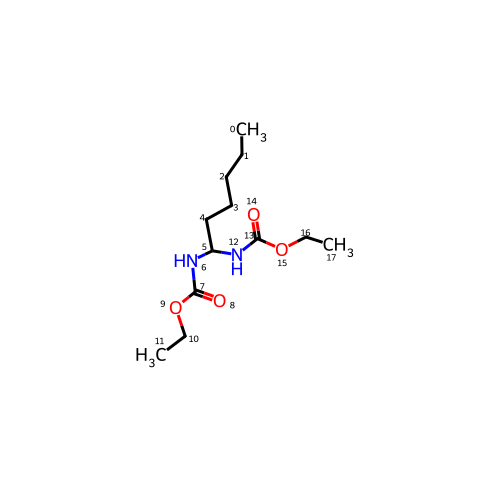 CCCCCC(NC(=O)OCC)NC(=O)OCC